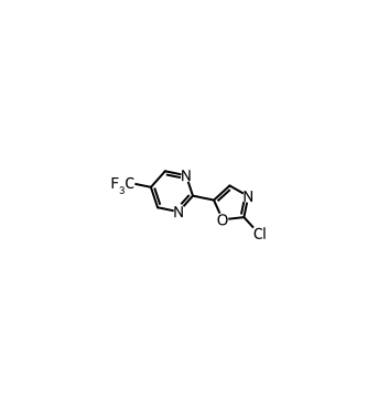 FC(F)(F)c1cnc(-c2cnc(Cl)o2)nc1